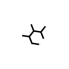 [CH2]CC(C)C(C)C([CH2])C